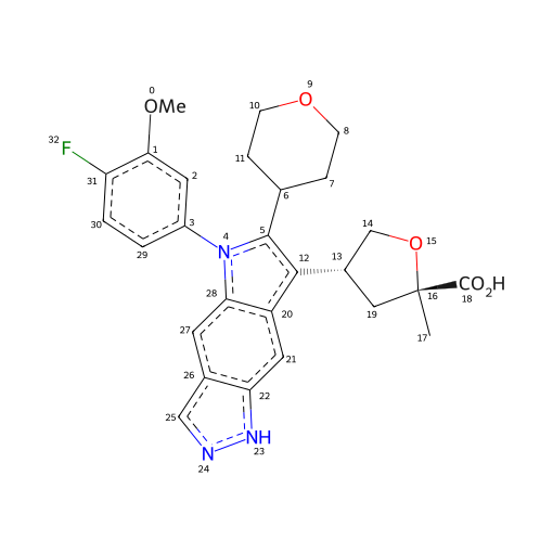 COc1cc(-n2c(C3CCOCC3)c([C@@H]3CO[C@@](C)(C(=O)O)C3)c3cc4[nH]ncc4cc32)ccc1F